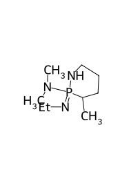 CCN=P1(N(C)C)NCCCC1C